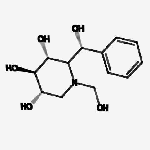 OCN1C[C@H](O)[C@@H](O)[C@H](O)C1[C@H](O)c1ccccc1